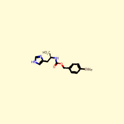 COc1ccc(COC(=O)N[C@@H](Cc2c[nH]cn2)C(=O)O)cc1